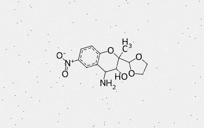 CC1(C2OCCO2)Oc2ccc([N+](=O)[O-])cc2C(N)C1O